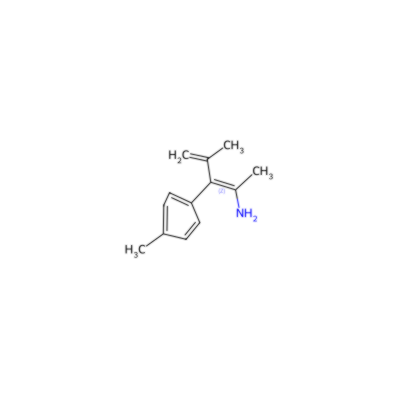 C=C(C)/C(=C(\C)N)c1ccc(C)cc1